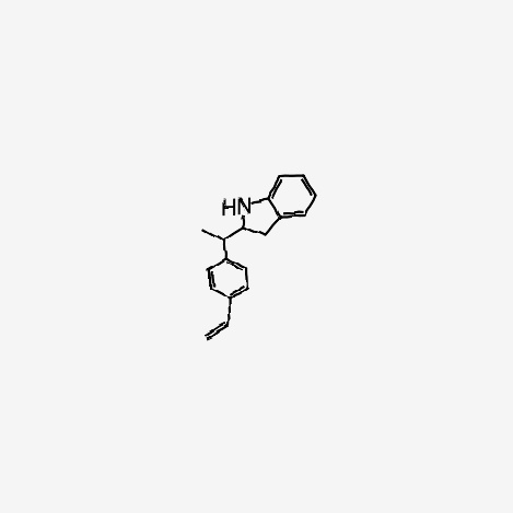 C=Cc1ccc(C(C)C2Cc3ccccc3N2)cc1